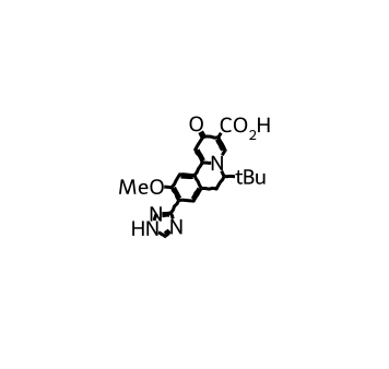 COc1cc2c(cc1-c1nc[nH]n1)CC(C(C)(C)C)n1cc(C(=O)O)c(=O)cc1-2